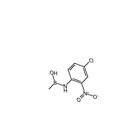 CB(O)Nc1ccc(Cl)cc1[N+](=O)[O-]